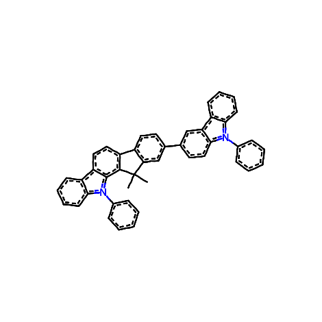 CC1(C)c2cc(-c3ccc4c(c3)c3ccccc3n4-c3ccccc3)ccc2-c2ccc3c4ccccc4n(-c4ccccc4)c3c21